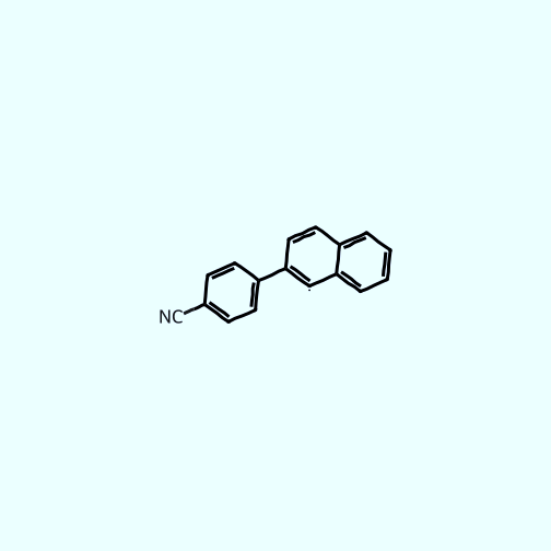 N#Cc1ccc(-c2[c]c3ccccc3cc2)cc1